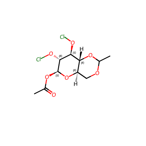 CC(=O)O[C@@H]1O[C@@H]2COC(C)O[C@H]2[C@H](OCl)[C@H]1OCl